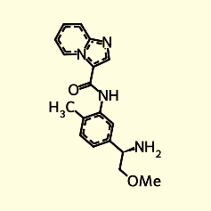 COC[C@H](N)c1ccc(C)c(NC(=O)c2cnc3ccccn23)c1